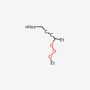 CCCCCCCCCC(CC)OOOCC